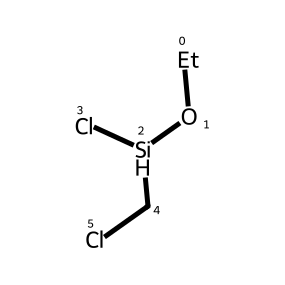 CCO[SiH](Cl)CCl